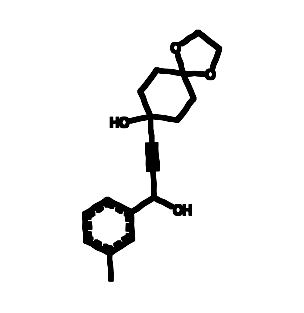 Cc1cccc(C(O)C#CC2(O)CCC3(CC2)OCCO3)c1